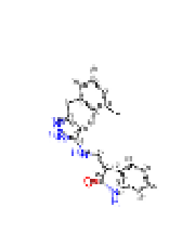 Cc1cc(C)c(C)c(Cc2cc(NC=C3C(=O)Nc4ccccc43)[nH]n2)c1